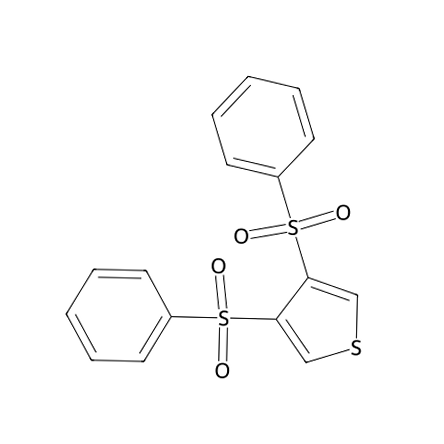 O=S(=O)(c1ccccc1)c1cscc1S(=O)(=O)c1ccccc1